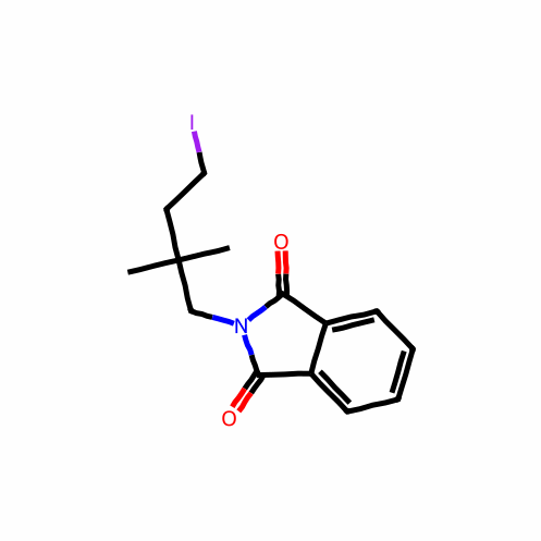 CC(C)(CCI)CN1C(=O)c2ccccc2C1=O